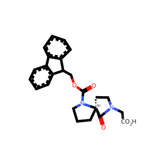 O=C(O)CN1CC[C@@]2(CCCN2C(=O)OCC2c3ccccc3-c3ccccc32)C1=O